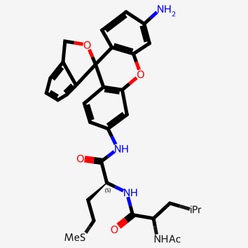 CSCC[C@H](NC(=O)C(CC(C)C)NC(C)=O)C(=O)Nc1ccc2c(c1)Oc1cc(N)ccc1C21OCc2ccccc21